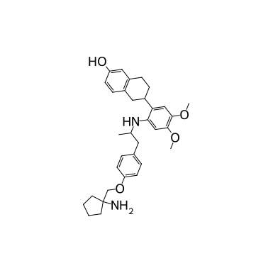 COc1cc(NC(C)Cc2ccc(OCC3(N)CCCC3)cc2)c(C2CCc3cc(O)ccc3C2)cc1OC